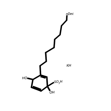 CCCCCCCCCCCCCCCCCCC1=CC(O)(S(=O)(=O)O)C=CC1O.[KH]